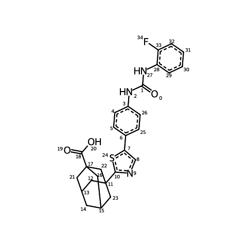 O=C(Nc1ccc(-c2cnc(C34CC5CC(CC(C(=O)O)(C5)C3)C4)s2)cc1)Nc1ccccc1F